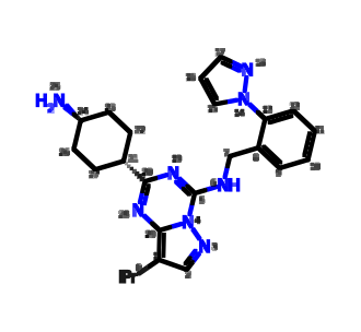 CC(C)c1cnn2c(NCc3ccccc3-n3cccn3)nc([C@H]3CC[C@H](N)CC3)nc12